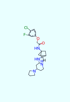 O=C(COc1ccc(Cl)c(F)c1)NC12CC(C1)[C@@H](NC1CC(N3CCCC3)CCN1)C2